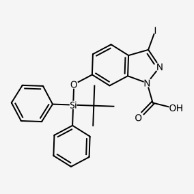 CC(C)(C)[Si](Oc1ccc2c(I)nn(C(=O)O)c2c1)(c1ccccc1)c1ccccc1